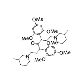 COc1cc(OC)c(C(CCN2CCCC(C)C2)C(=O)C(CCN2CCCC(C)C2)c2c(OC)cc(OC)cc2OC)c(OC)c1